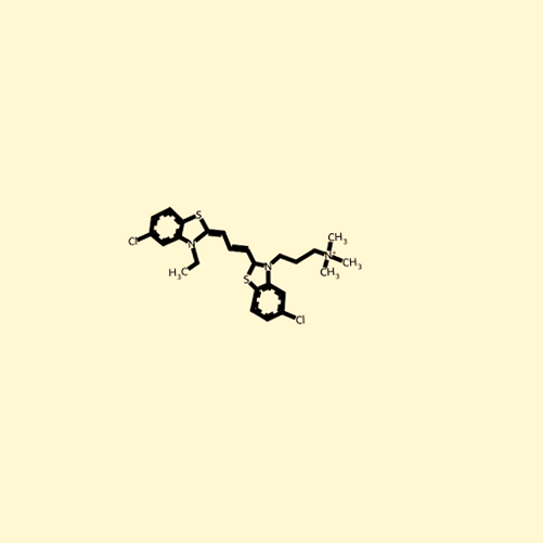 CCN1C(=CC=CC2Sc3ccc(Cl)cc3N2CCC[N+](C)(C)C)Sc2ccc(Cl)cc21